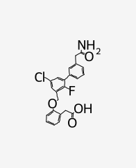 NC(=O)Cc1cccc(-c2cc(Cl)cc(COc3ccccc3CC(=O)O)c2F)c1